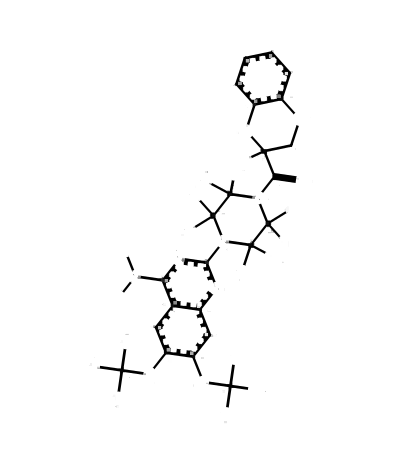 [2H]N([2H])c1nc(N2C([2H])([2H])C([2H])([2H])N(C(=O)C3([2H])COc4ccccc4O3)C([2H])([2H])C2([2H])[2H])nc2cc(OC([2H])([2H])[2H])c(OC([2H])([2H])[2H])cc12